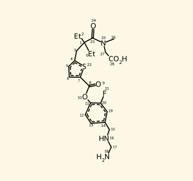 CCC(CC)(Cc1ccc(C(=O)Oc2ccc(CNCN)cc2F)s1)C(=O)N(C)CC(=O)O